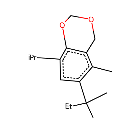 CCC(C)(C)c1cc(C(C)C)c2c(c1C)COCO2